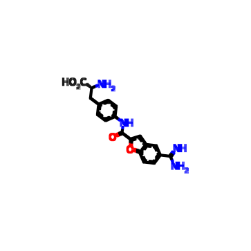 N=C(N)c1ccc2oc(C(=O)Nc3ccc(C[C@H](N)C(=O)O)cc3)cc2c1